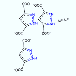 O=C([O-])c1cc(C(=O)[O-])[nH]n1.O=C([O-])c1cc(C(=O)[O-])[nH]n1.O=C([O-])c1cc(C(=O)[O-])[nH]n1.[Al+3].[Al+3]